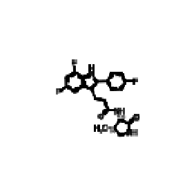 C[C@H]1CNC(=O)[C@H]1NC(=O)CCc1c(-c2ccc(F)cc2)[nH]c2c(F)cc(F)cc12